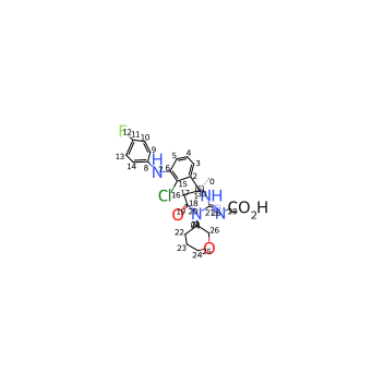 C[C@@]1(c2cccc(Nc3ccc(F)cc3)c2Cl)CC(=O)N([C@@H]2CCCOC2)/C(=N/C(=O)O)N1